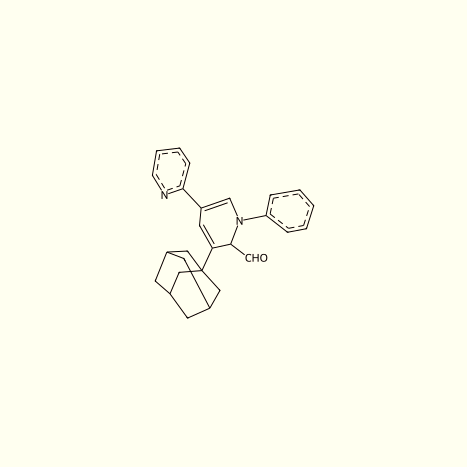 O=CC1C(C23CC4CC(CC(C4)C2)C3)=CC(c2ccccn2)=CN1c1ccccc1